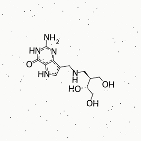 Nc1nc2c(CNC[C@@H](CO)[C@@H](O)CO)c[nH]c2c(=O)[nH]1